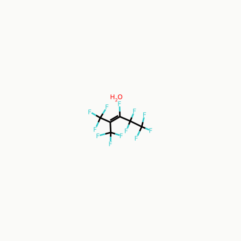 FC(=C(C(F)(F)F)C(F)(F)F)C(F)(F)C(F)(F)F.O